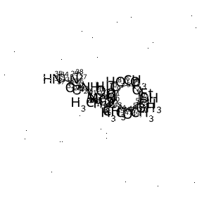 CC[C@H]1OC(=O)[C@H](C)[C@@H](O)[C@H](C)[C@@H](O[C@@H]2O[C@H](C)C[C@H](N(C)CCNC(=O)[C@@H]3CCCN3C(=O)C3CCNC3)[C@H]2O)[C@](C)(OC)C[C@@H](C)C(=O)[C@H](C)[C@@H](O)[C@]1(C)O